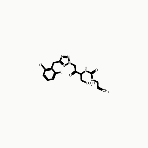 C=CCOC(=O)NC(CC(=O)O)C(=O)Cn1nnc(Cc2c(Cl)cccc2Cl)n1